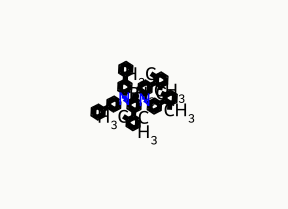 Cc1cccc(C)c1-c1cccc(N2c3cc(-c4c(C)cccc4C)ccc3B3c4cc(-c5ccccc5)ccc4N(c4ccc(-c5ccccc5)cc4)c4cc(-c5c(C)cccc5C)cc2c43)c1